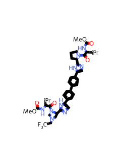 COC(=O)NC(C(=O)N1CCCC1c1ncc(-c2ccc(-c3ccc(-c4cnc(C5CN(CC(F)(F)F)CN5C(=O)C(NC(=O)OC)C(C)C)[nH]4)cc3)cc2)[nH]1)C(C)C